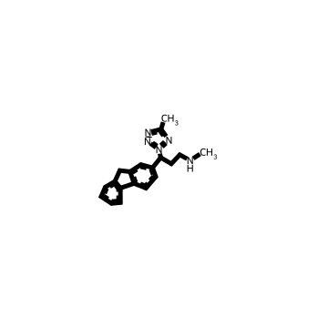 CNCCC(c1ccc2c(c1)Cc1ccccc1-2)n1nnc(C)n1